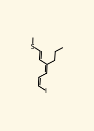 CCCC(=C/C=C\I)/C=C/SC